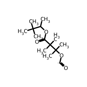 CC(OC(=O)C(C)(C)C(C)(C)O[C]=O)C(C)(C)C